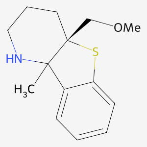 COC[C@]12CCCNC1(C)c1ccccc1S2